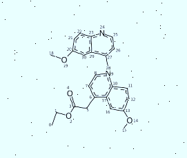 CCOC(=O)Cc1ccnc2ccc(OC)cc12.COc1ccc2nccc(C)c2c1